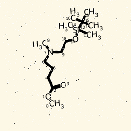 COC(=O)CCCN(C)CCO[Si](C)(C)C(C)(C)C